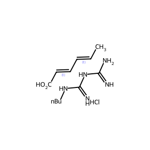 C/C=C/C=C/C(=O)O.CCCCNC(=N)NC(=N)N.Cl